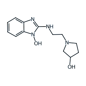 OC1CCN(CCNc2nc3ccccc3n2O)C1